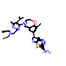 CCN(CC)Cc1nc(C)c(C(C)C)c(N2CCOc3c(C)cc(-c4cnc5sc(N)nc5c4)cc3C2)n1